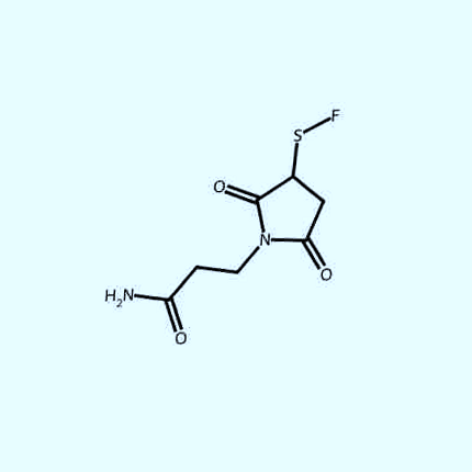 NC(=O)CCN1C(=O)CC(SF)C1=O